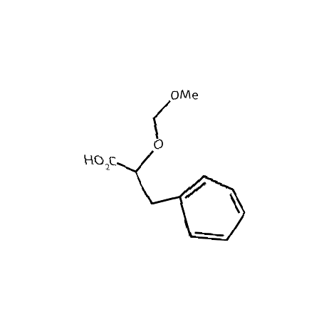 COCOC(Cc1ccccc1)C(=O)O